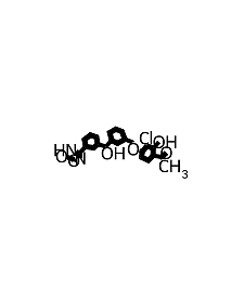 CC(=O)c1ccc(OCc2cccc(C(O)c3cccc(-c4noc(=O)[nH]4)c3)c2)c(Cl)c1O